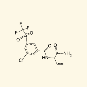 C=CC(NC(=O)c1cc(Cl)cc(S(=O)(=O)C(F)(F)F)c1)C(N)=O